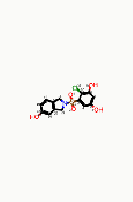 O=S(=O)(c1cc(O)cc(O)c1Cl)N1Cc2ccc(O)cc2C1